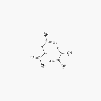 CC(O)C(=O)O.O=C(O)CCC(=O)O